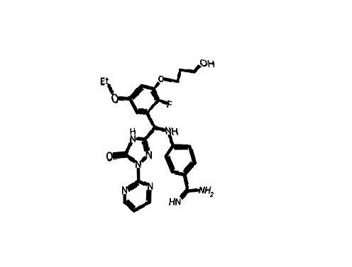 CCOc1cc(OCCCO)c(F)c(C(Nc2ccc(C(=N)N)cc2)c2nn(-c3ncccn3)c(=O)[nH]2)c1